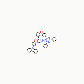 c1ccc(C2=NC(c3ccc4oc5cccc(-c6cccc7c6oc6ccc(-n8c9ccccc9c9ccccc98)cc67)c5c4c3)NC(c3ccccc3)=N2)cc1